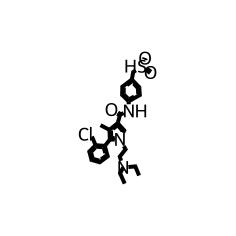 CCN(CC)CCn1cc(C(=O)Nc2ccc(C[SH](=O)=O)cc2)c(C)c1-c1ccccc1Cl